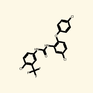 O=C(Nc1ccc(Cl)c(C(F)(F)F)c1)Nc1cc(Cl)ccc1Oc1ccc(Cl)cc1